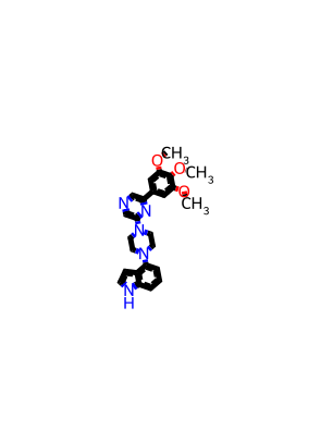 COc1cc(-c2cncc(N3CCN(c4cccc5[nH]ccc45)CC3)n2)cc(OC)c1OC